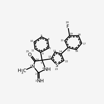 CN1C(=N)NC(c2ccccc2)(c2cc(-c3cccc(F)c3)cs2)C1=O